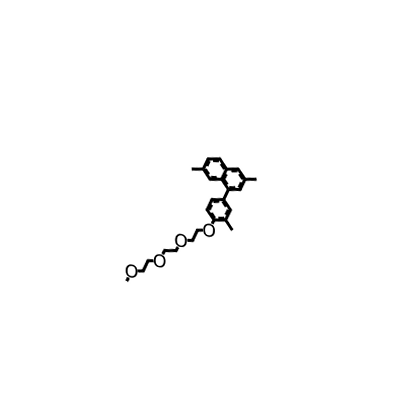 COCCOCCOCCOc1ccc(-c2cc(C)cc3ccc(C)cc23)cc1C